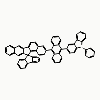 c1ccc(-n2c3ccccc3c3cc(-c4c5ccccc5c(-c5ccc6c7c(ccc6c5)-c5cc6ccccc6cc5C75c6ccccc6-c6ccccc65)c5ccccc45)ccc32)cc1